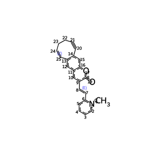 C[n+]1ccccc1/C=C/c1cc2cc3c(cc2oc1=O)C#CCC/C=C\3